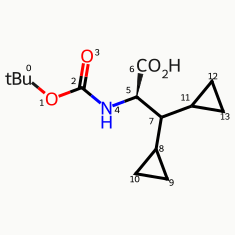 CC(C)(C)OC(=O)N[C@@H](C(=O)O)C(C1CC1)C1CC1